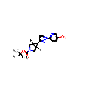 CC(C)(C)OC(=O)N1C[C@@H]2[C@H](C1)[C@H]2c1ccn(-c2ccc(O)cn2)n1